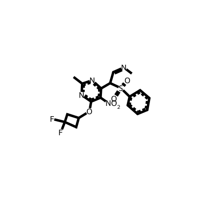 C/N=C\C(c1nc(C)nc(OC2CC(F)(F)C2)c1[N+](=O)[O-])S(=O)(=O)c1ccccc1